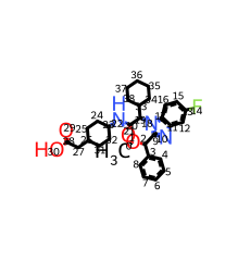 COC(c1ccccc1)c1nc2cc(F)ccc2n1C(C(=O)NC1CCC(CC(=O)O)CC1)C1CCCCC1